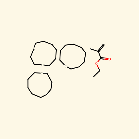 C1CCCCCCCCC1.C1CCCCCCCCC1.C1CCCCCCCCC1.C=C(C)C(=O)OCC